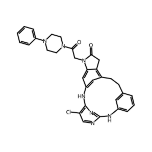 O=C(CN1C(=O)Cc2c3cc(cc21)Nc1nc(ncc1Cl)Nc1cccc(c1)CC3)N1CCN(c2ccccc2)CC1